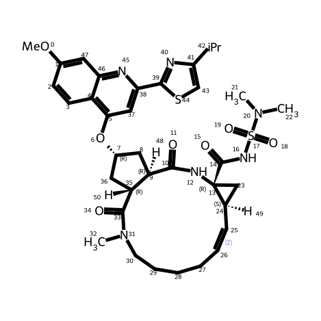 COc1ccc2c(O[C@@H]3C[C@H]4C(=O)N[C@]5(C(=O)NS(=O)(=O)N(C)C)C[C@H]5/C=C\CCCCN(C)C(=O)[C@@H]4C3)cc(-c3nc(C(C)C)cs3)nc2c1